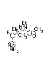 CCc1nc(-c2ccc3occ(C)c3c2)cc(N(CC)C(C)c2cc(F)cc(-c3cnc(N)nc3)c2)n1